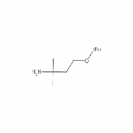 CC(C)(N)CCOC(C)(C)C